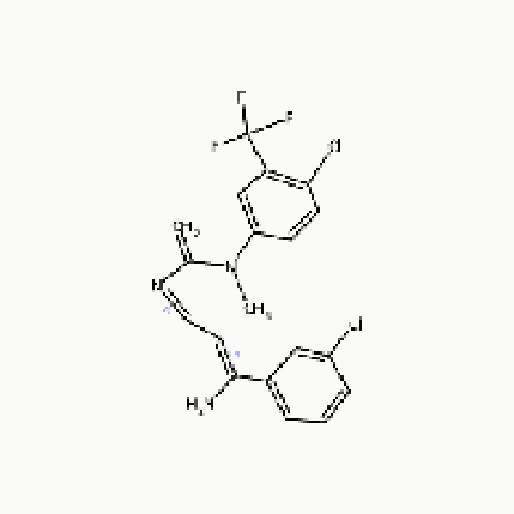 C=C(/N=C\C=C(/N)c1cccc(Cl)c1)N(C)c1ccc(Cl)c(C(F)(F)F)c1